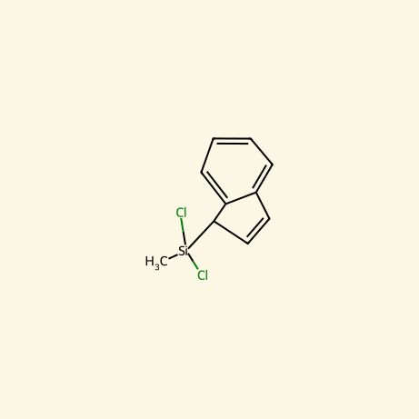 C[Si](Cl)(Cl)C1C=Cc2ccccc21